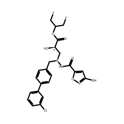 O=C(NN(Cc1ccc(-c2cccc(Cl)c2)cc1)C[C@@H](O)C(=O)OC(CF)CF)c1cc(O)no1